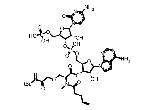 C=CCCC(=O)N(C)[C@@H](COCC(=O)NC(C)(C)C)C(=O)O[C@H]1[C@@H](O)[C@H](n2ccc3c(N)ncnc32)O[C@@H]1COP(=O)(O)O[C@H]1[C@@H](O)[C@H](n2ccc(N)nc2=O)O[C@@H]1COP(=O)(O)O